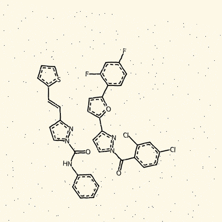 O=C(Nc1ccccc1)n1ccc(/C=C/c2cccs2)n1.O=C(c1ccc(Cl)cc1Cl)n1ccc(-c2ccc(-c3ccc(F)cc3F)o2)n1